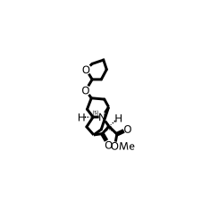 COC(=O)[C@H]1C(=O)C2CC3CC(OC4CCCCO4)C[C@H](C2)N31